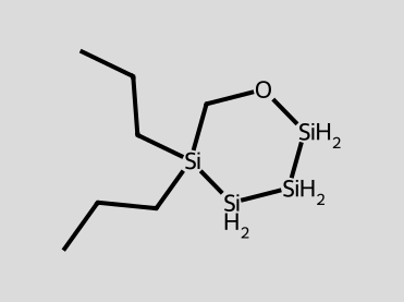 CCC[Si]1(CCC)CO[SiH2][SiH2][SiH2]1